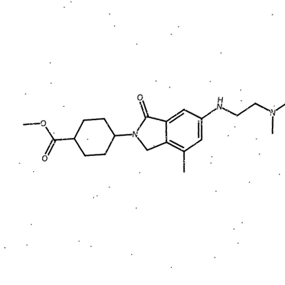 COC(=O)C1CCC(N2Cc3c(C)cc(NCCN(C)C)cc3C2=O)CC1